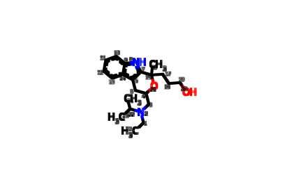 CCN(CC1Cc2c([nH]c3ccccc23)C(C)(CCCO)O1)C(C)C